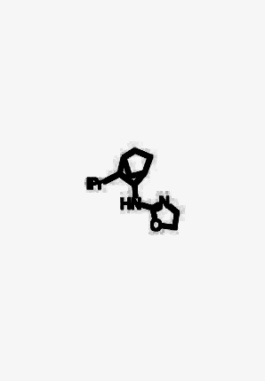 CC(C)C1C2CCC(C2)C1NC1=NCCO1